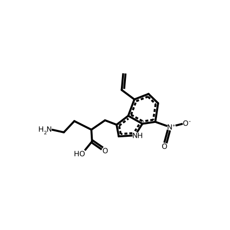 C=Cc1ccc([N+](=O)[O-])c2[nH]cc(CC(CCN)C(=O)O)c12